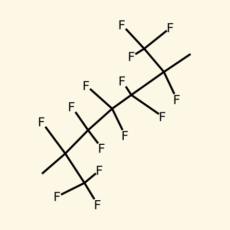 CC(F)(C(F)(F)F)C(F)(F)C(F)(F)C(F)(F)C(C)(F)C(F)(F)F